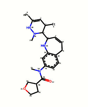 CCCC1=CC(CC)C(C2C=CCc3ccc(N(C)C(=O)C4CCOC4)cc3N2)N(C)N1